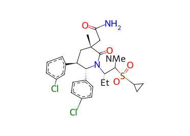 CC[C@@H](C(NC)S(=O)(=O)C1CC1)N1C(=O)[C@@](C)(CC(N)=O)C[C@H](c2cccc(Cl)c2)[C@H]1c1ccc(Cl)cc1